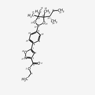 CCOC(=O)c1cc(-c2ccc(B3OC(C)(C)C(C)([C@@H](C)CC)O3)cc2)on1